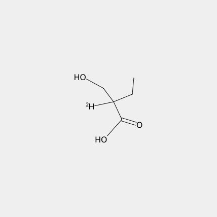 [2H]C(CC)(CO)C(=O)O